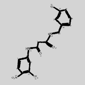 O=C(CC(=O)Nc1ccc([N+](=O)[O-])c(C(F)(F)F)c1)NCc1cccc(Cl)c1